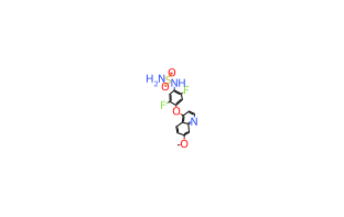 COc1ccc2c(Oc3cc(F)c(NS(N)(=O)=O)cc3F)ccnc2c1